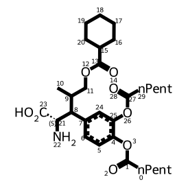 CCCCCC(=O)Oc1ccc(C(C(C)COC(=O)C2CCCCC2)[C@H](N)C(=O)O)cc1OC(=O)CCCCC